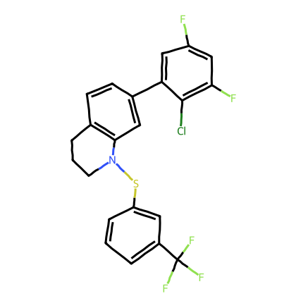 Fc1cc(F)c(Cl)c(-c2ccc3c(c2)N(Sc2cccc(C(F)(F)F)c2)CCC3)c1